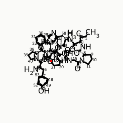 CC[C@H](C)[C@H](NC(=O)[C@@H]1CCCN1C(=O)CNC(=O)[C@@H]1CCCN1C(=O)[C@H](Cc1ccccc1)NC(=O)[C@@H]1CCCN1C(=O)[C@@H](N)Cc1ccc(O)cc1)C(=O)N[C@@H](Cc1c[nH]cn1)C(=O)N[C@@H](CC(N)=O)C(=O)O